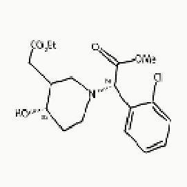 CCOC(=O)CC1CN([C@H](C(=O)OC)c2ccccc2Cl)CC[C@@H]1O